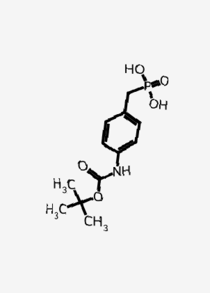 CC(C)(C)OC(=O)Nc1ccc(CP(=O)(O)O)cc1